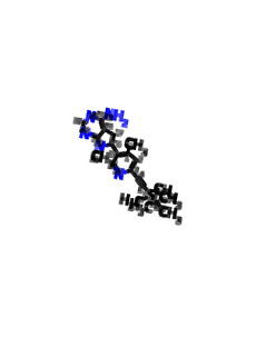 Cc1cc(C#C[Si](C)(C)C(C)(C)C)ncc1-c1cc2c(N)ncnc2n1C